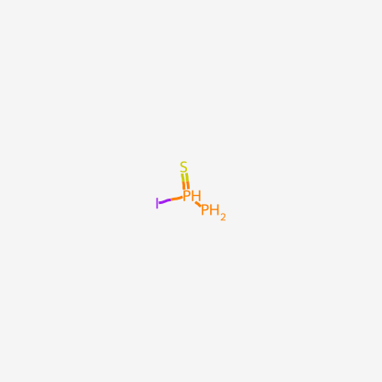 P[PH](=S)I